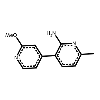 COc1cc(-c2ccc(C)nc2N)ccn1